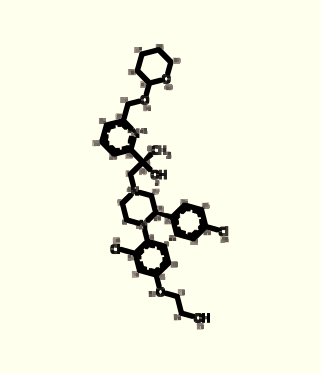 C[C@@](O)(CN1CCN(c2ccc(OCCO)cc2Cl)[C@H](c2ccc(Cl)cc2)C1)c1cccc(COC2CCCCO2)n1